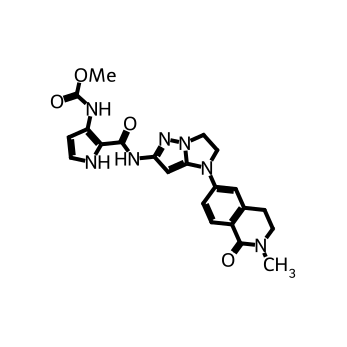 COC(=O)Nc1cc[nH]c1C(=O)Nc1cc2n(n1)CCN2c1ccc2c(c1)CCN(C)C2=O